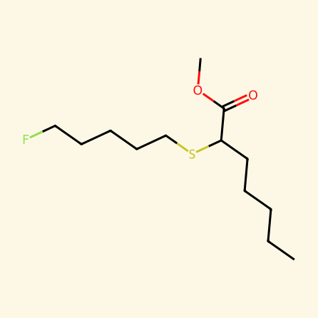 CCCCCC(SCCCCCF)C(=O)OC